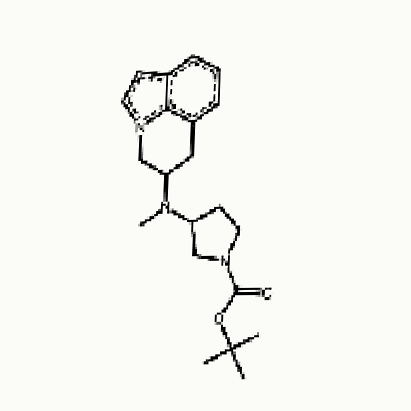 CN(C1CCN(C(=O)OC(C)(C)C)C1)C1Cc2cccc3ccn(c23)C1